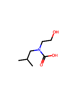 C[C](C)CN(CCO)C(=O)O